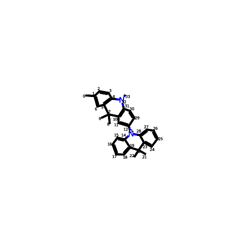 Cc1ccc2c(c1)C(C)(C)c1cc(N3c4ccccc4C(C)(C)c4ccccc43)ccc1N2C